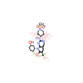 BC(F)(F)c1cc2cnc(NC3(B)C(B)(B)CN(S(C)(=O)=O)CC3(B)B)nc2n([C@H]2C[C@H](O)CC[C@@H]2F)c1=O